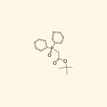 CC(C)(C)OC(=O)CP(=O)(c1ccccc1)c1ccccc1